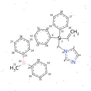 C=C[Si](Cn1ccnc1)(c1ccccc1)c1ccccc1.CB(c1ccccc1)c1ccccc1